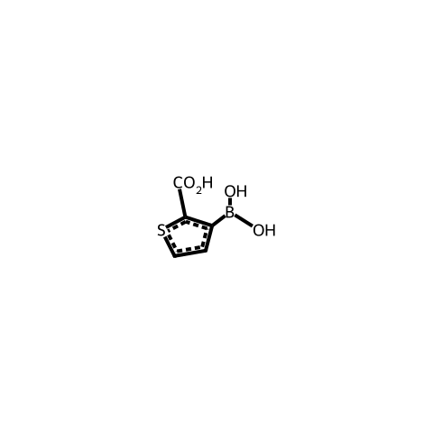 O=C(O)c1sccc1B(O)O